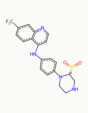 O=S(=O)=C1CNCCN1c1ccc(Nc2ccnc3cc(C(F)(F)F)ccc23)cc1